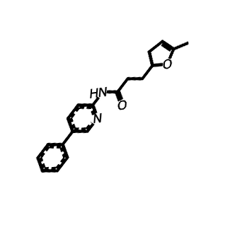 CC1=CCC(CCC(=O)Nc2ccc(-c3ccccc3)cn2)O1